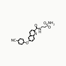 N#Cc1ccc(Oc2ccc3nc(C(=O)NCCS(N)(=O)=O)ccc3c2)cc1